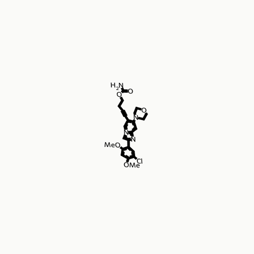 COc1cc(OC)c(-c2cn3cc(C#CCCOC(N)=O)c(N4CCOCC4)cc3n2)cc1Cl